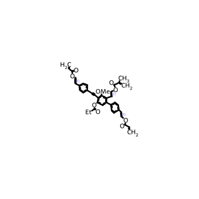 C=CC(=O)O/C=C/c1ccc(C#Cc2c(OC(=O)CC)cc(-c3ccc(/C=C/OC(=O)C=C)cc3)c(/C=C/OC(=O)C(=C)C)c2OC)cc1